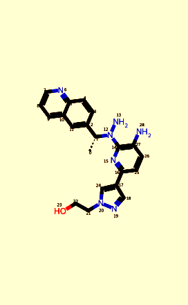 C[C@H](c1ccc2ncccc2c1)N(N)c1nc(-c2cnn(CCO)c2)ccc1N